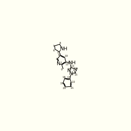 Cc1ncc(C2CCCN2)cc1Nc1ncn(-c2ccccc2)n1